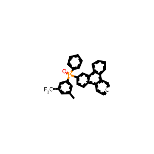 Cc1cc(C(F)(F)F)cc(P(=O)(c2ccccc2)c2ccc3c4ccccc4c4ccccc4c3c2)c1